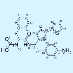 CN(C(=O)O)C(Cc1ccccc1)C(=O)N[C@@H](Cc1ccc(N)cc1)c1csc(-c2cccs2)n1